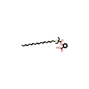 CCC=CCC=CCC=CCC=CCC=CCCSC(CC)(CC)C(=O)Oc1ccccc1C(=O)O